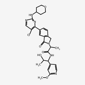 COc1cc(C(NC(=O)C(C)N2Cc3ccc(-c4nc(NC5CCOCC5)ncc4Cl)cc3C2=O)C(C)O)ccn1